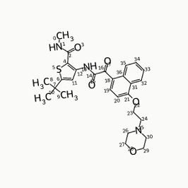 CNC(=O)c1sc(C(C)(C)C)cc1NC(=O)C(=O)c1ccc(OCCN2CCOCC2)c2ccccc12